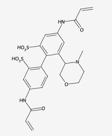 C=CC(=O)Nc1ccc(-c2c(C3COCCN3C)cc(NC(=O)C=C)cc2S(=O)(=O)O)c(S(=O)(=O)O)c1